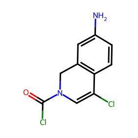 Nc1ccc2c(c1)CN(C(=O)Cl)C=C2Cl